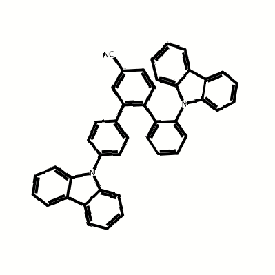 N#Cc1ccc(-c2ccccc2-n2c3ccccc3c3ccccc32)c(-c2ccc(-n3c4ccccc4c4ccccc43)cc2)c1